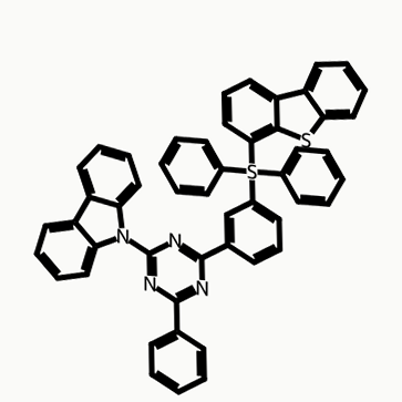 c1ccc(-c2nc(-c3cccc(S(c4ccccc4)(c4ccccc4)c4cccc5c4sc4ccccc45)c3)nc(-n3c4ccccc4c4ccccc43)n2)cc1